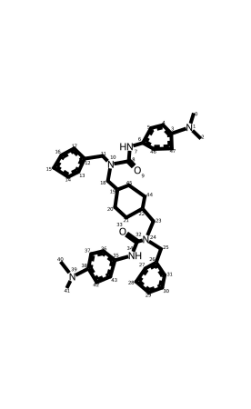 CN(C)c1ccc(NC(=O)N(Cc2ccccc2)CC2CCC(CN(Cc3ccccc3)C(=O)Nc3ccc(N(C)C)cc3)CC2)cc1